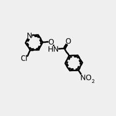 O=C(NOc1cncc(Cl)c1)c1ccc([N+](=O)[O-])cc1